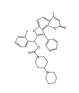 Cc1cc(=O)oc2c1ccc1oc(C(OC(=O)N3CCC(N4CCCCC4)CC3)c3ccccc3F)c(-c3ccccc3)c12